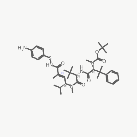 C/C(=C\[C@H](C(C)C)N(C)C(=O)[C@@H](NC(=O)[C@@H](N(C)C(=O)OC(C)(C)C)C(C)(C)c1ccccc1)C(C)(C)C)C(=O)NSc1ccc(N)cc1